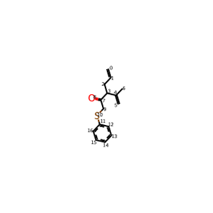 C=CCC(C(=C)C)C(=O)CSc1ccccc1